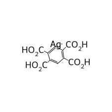 O=C(O)c1cc(C(=O)O)c(C(=O)O)cc1C(=O)O.[Ag]